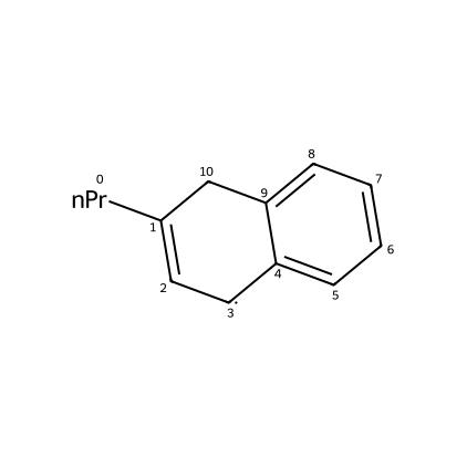 CCCC1=C[CH]c2ccccc2C1